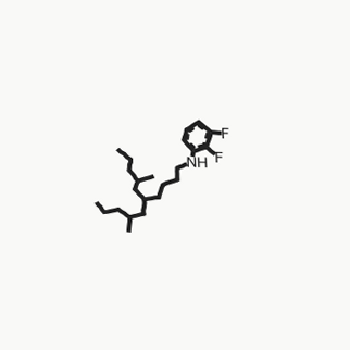 CCCC(C)CC(CCCCNc1cccc(F)c1F)CC(C)CCC